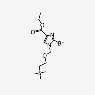 CCOC(=O)c1cn(COCCS(C)(C)C)c(Br)n1